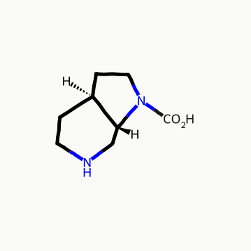 O=C(O)N1CC[C@@H]2CCNC[C@H]21